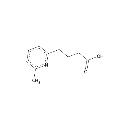 Cc1cccc(CCCC(=O)O)n1